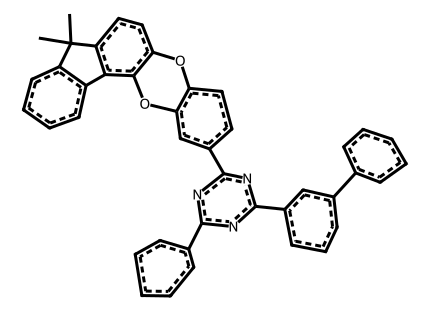 CC1(C)c2ccccc2-c2c1ccc1c2Oc2cc(-c3nc(-c4ccccc4)nc(-c4cccc(-c5ccccc5)c4)n3)ccc2O1